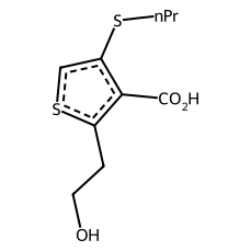 CCCSc1csc(CCO)c1C(=O)O